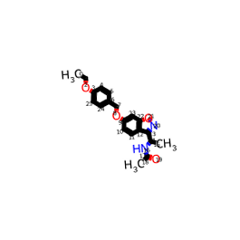 CCOc1ccc(COc2ccc3c(C(C)NC(C)=O)noc3c2)cc1